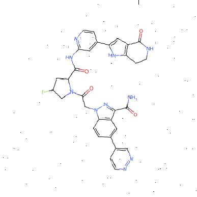 NC(=O)c1nn(CC(=O)N2CC(F)CC2C(=O)Nc2cc(-c3cc4c([nH]3)CCNC4=O)ccn2)c2ccc(-c3ccnnc3)cc12